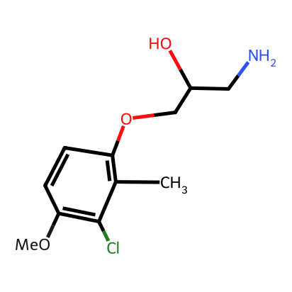 COc1ccc(OCC(O)CN)c(C)c1Cl